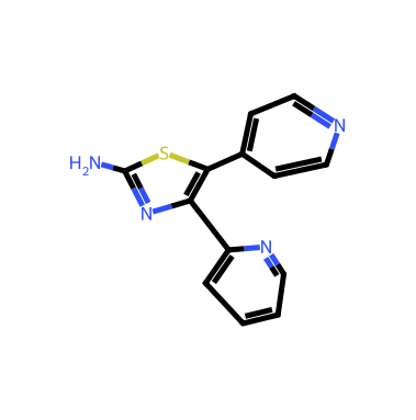 Nc1nc(-c2ccccn2)c(-c2ccncc2)s1